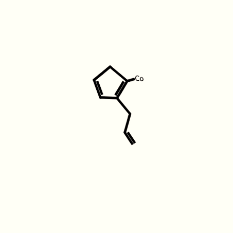 C=CCC1=[C]([Co])CC=C1